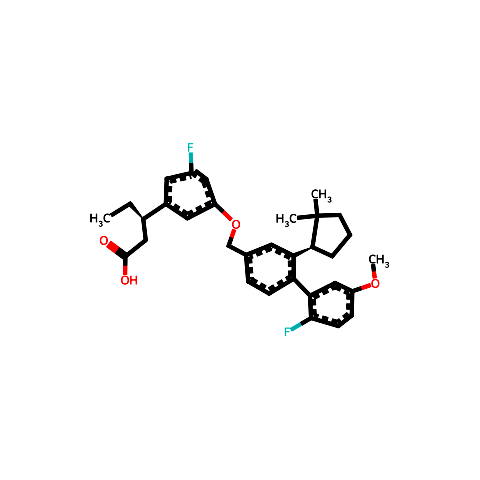 CC[C@H](CC(=O)O)c1cc(F)cc(OCc2ccc(-c3cc(OC)ccc3F)c([C@@H]3CCCC3(C)C)c2)c1